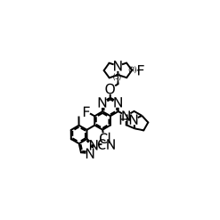 Cc1ccc2cnn(C#N)c2c1-c1c(Cl)cc2c(N3CC4CCC(C3)N4)nc(OC[C@@]34CCCN3C[C@H](F)C4)nc2c1F